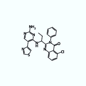 CCC(Nc1nc(N)ncc1-c1cscn1)c1nc2cccc(Cl)c2c(=O)n1-c1ccccc1